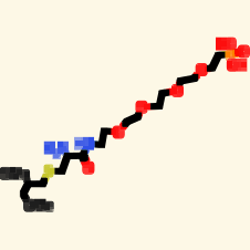 COC[C@H](CSC[C@H](N)C(=O)NCCOCCOCCOCCOCCP(=O)(O)O)OC